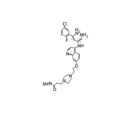 CNC(=O)CCN1CCN(CCOc2ccc3c(NC(/C=C(\N)c4cc(Cl)ccc4F)=C/N)ccnc3c2)CC1